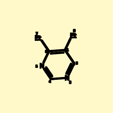 CCc1[c]ncnc1CC